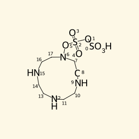 O=S(=O)(O)OS(=O)(=O)ON1CCNCCNCCNCC1